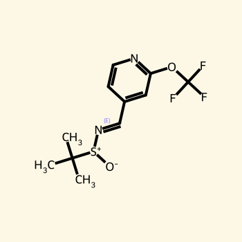 CC(C)(C)[S+]([O-])/N=C/c1ccnc(OC(F)(F)F)c1